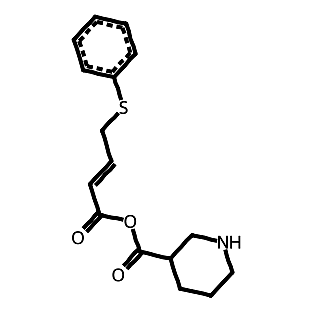 O=C(C=CCSc1ccccc1)OC(=O)C1CCCNC1